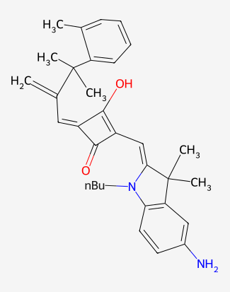 C=C(/C=C1/C(=O)C(/C=C2\N(CCCC)c3ccc(N)cc3C2(C)C)=C1O)C(C)(C)c1ccccc1C